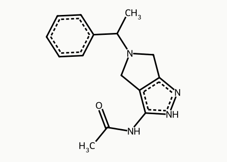 CC(=O)Nc1[nH]nc2c1CN(C(C)c1ccccc1)C2